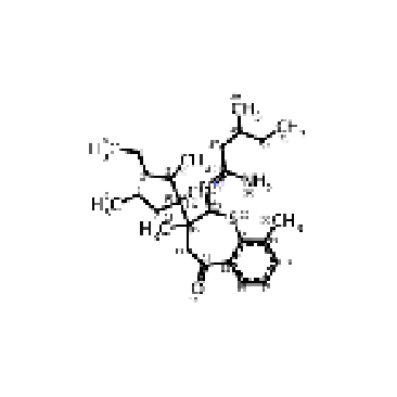 CCCC(C)[C@@](C)(CCC)C1(C)CC(=O)c2cccc(C)c2SC1/N=C(\N)CC(C)CC